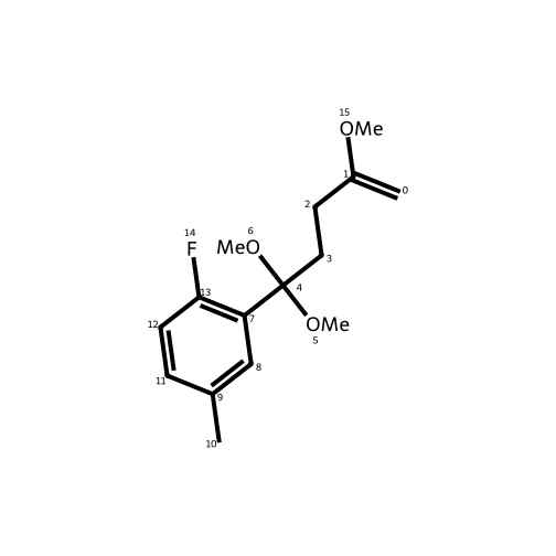 C=C(CCC(OC)(OC)c1cc(C)ccc1F)OC